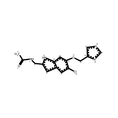 CC(=O)NCc1cc2cc(Cl)c(OCc3cscn3)cc2[nH]1